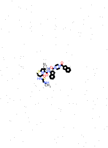 CNCC(=S)N[C@H]1CCSC2CC(C)(C)[C@@H](C(=O)NC3c4ccccc4C[C@H]3C(=O)N3CCN(C(=O)C4Cc5ccccc5C4)CC3)N2C1=O